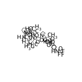 CC[C@H](C)[C@@H]([C@H](CC(=O)N1CCC[C@H]1[C@H](OC)[C@@H](C)C(=O)NS(=O)(=O)c1ccc(NC(=O)C(F)(F)F)cc1)OC)N(C)C(=O)[C@@H](NC(=O)[C@H]1CCCCN1C(C)C)C(C)C